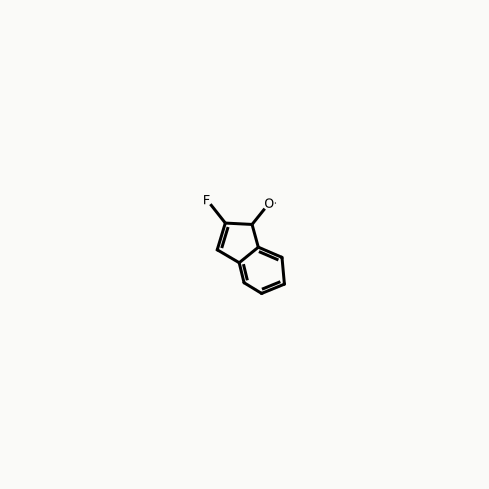 [O]C1C(F)=Cc2ccccc21